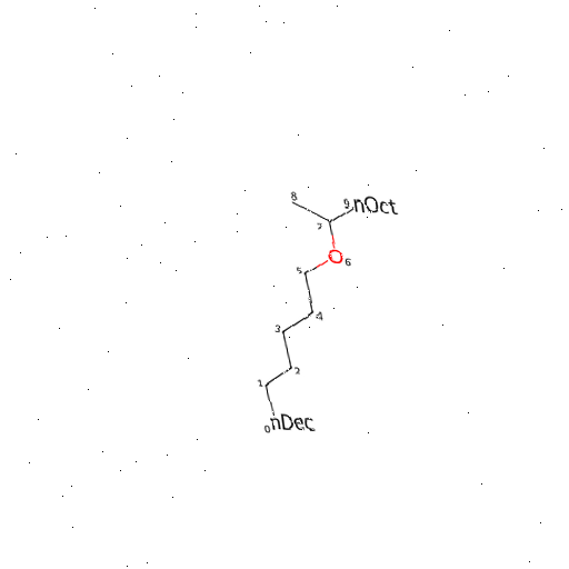 CCCCCCCCCCCCCCCOC(C)CCCCCCCC